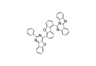 c1ccc(-c2nc(-c3cccc4c3oc3cccc(-c5nc6ccccc6c6nc7ccccc7n56)c34)c3oc4ccccc4c3n2)cc1